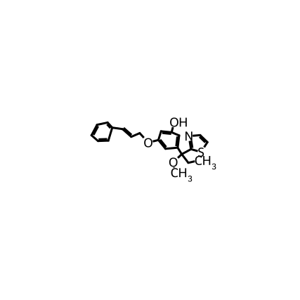 CCC(OC)(c1cc(O)cc(OC/C=C/c2ccccc2)c1)c1nccs1